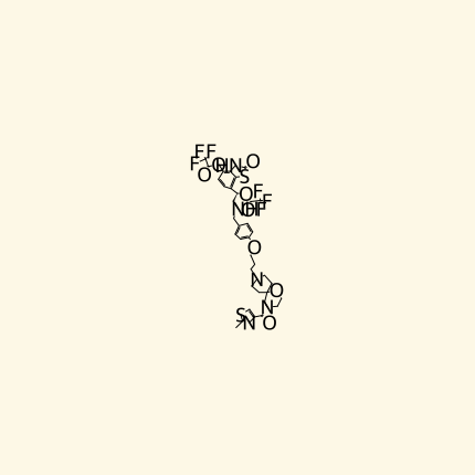 Cc1nc(C(=O)N2CCOC3(CCN(CCCOc4ccc(CNC[C@H](OC(=O)C(F)(F)F)c5ccc(OC(=O)C(F)(F)F)c6[nH]c(=O)sc56)cc4)CC3)C2)cs1